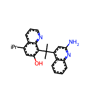 CC(C)c1cc(O)c(C(C)(C)c2cc(N)nc3ccccc23)c2ncccc12